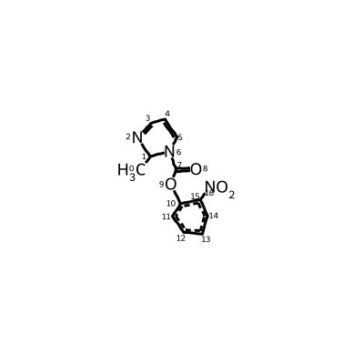 CC1N=CC=CN1C(=O)Oc1ccccc1[N+](=O)[O-]